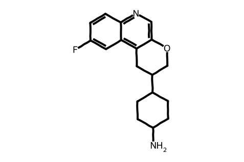 NC1CCC(C2COc3cnc4ccc(F)cc4c3C2)CC1